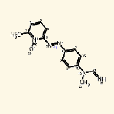 Cc1cccc(/N=N/c2ccc(N(C)C=N)cc2)[n+]1[O-]